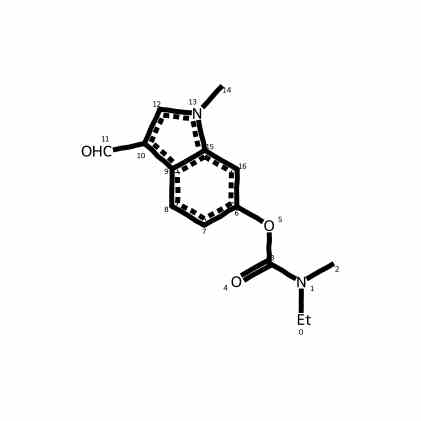 CCN(C)C(=O)Oc1ccc2c(C=O)cn(C)c2c1